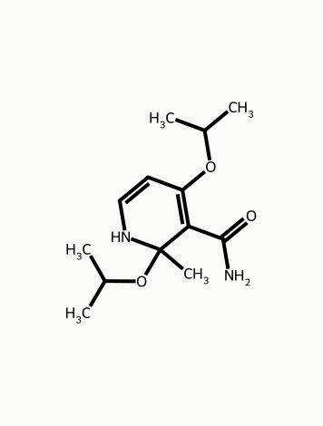 CC(C)OC1=C(C(N)=O)C(C)(OC(C)C)NC=C1